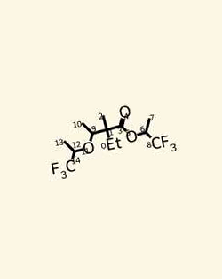 CCC(C)(C(=O)OC(C)C(F)(F)F)C(C)OC(C)C(F)(F)F